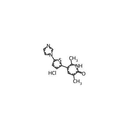 Cc1[nH]c(=O)c(C)cc1-c1ccc(-n2ccnc2)s1.Cl